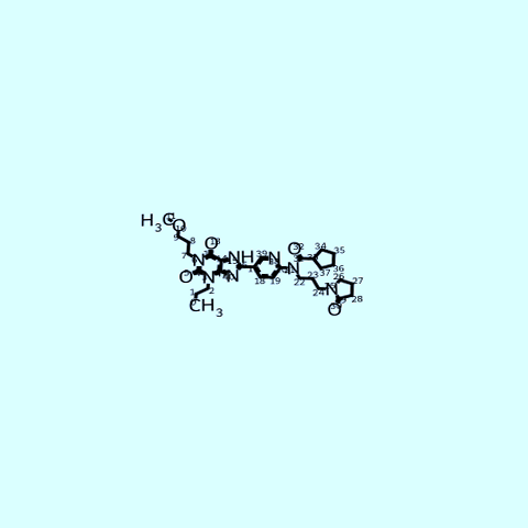 CCCn1c(=O)n(CCCOC)c(=O)c2[nH]c(-c3ccc(N(CCCN4CCCC4=O)C(=O)C4CCCC4)nc3)nc21